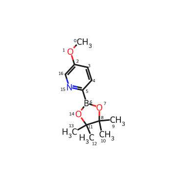 COc1ccc(B2OC(C)(C)C(C)(C)O2)nc1